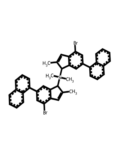 CC1=Cc2c(Br)cc(-c3cccc4ccccc34)cc2C1[Si](C)(C)C1C(C)=Cc2c(Br)cc(-c3cccc4ccccc34)cc21